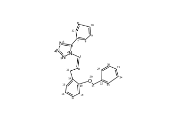 C(=C/n1nnnc1-c1ccccc1)/Cc1ccccc1OCc1ccccc1